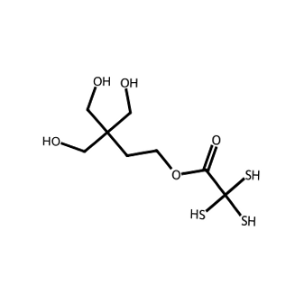 O=C(OCCC(CO)(CO)CO)C(S)(S)S